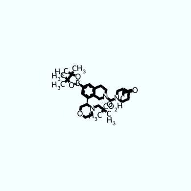 CC(C)(CN1CCOC[C@H]1c1cc(B2OC(C)(C)C(C)(C)O2)cc2c1CN(C(=O)N1CC3CCC1CC3=O)CC2)C(=O)O